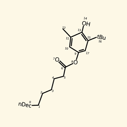 CCCCCCCCCCCCCCCC(=O)Oc1cc(C)c(O)c(C(C)(C)C)c1